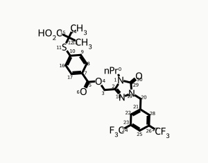 CCCn1c(COC(=O)c2ccc(SC(C)(C)C(=O)O)cc2)nn(Cc2cc(C(F)(F)F)cc(C(F)(F)F)c2)c1=O